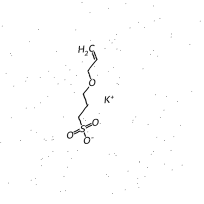 C=CCOCCCS(=O)(=O)[O-].[K+]